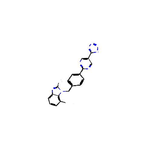 CCCCc1nc2cccc(C(=O)O)c2n1Cc1ccc(-c2ncc(-c3nnn[nH]3)cn2)cc1